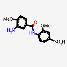 COc1ccc(C(=O)Nc2ccc(S(=O)(=O)O)cc2OC)cc1N